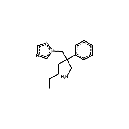 CCCCC(CN)(Cn1cncn1)c1ccccc1